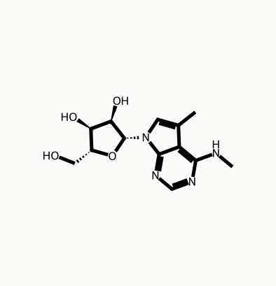 CNc1ncnc2c1c(C)cn2[C@@H]1O[C@H](CO)[C@@H](O)[C@H]1O